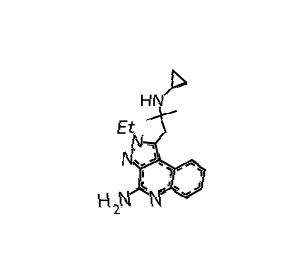 CCn1nc2c(N)nc3ccccc3c2c1CC(C)(C)NC1CC1